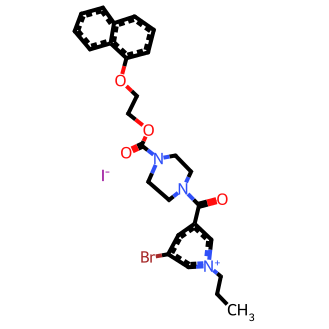 CCC[n+]1cc(Br)cc(C(=O)N2CCN(C(=O)OCCOc3cccc4ccccc34)CC2)c1.[I-]